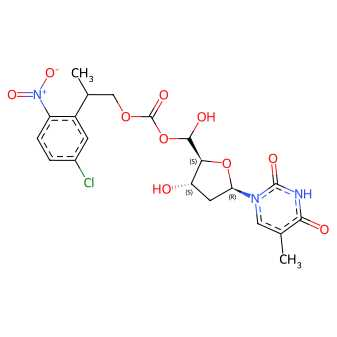 Cc1cn([C@H]2C[C@H](O)[C@@H](C(O)OC(=O)OCC(C)c3cc(Cl)ccc3[N+](=O)[O-])O2)c(=O)[nH]c1=O